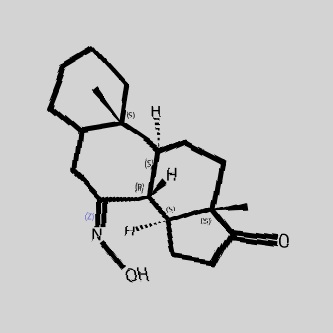 C[C@]12CCCCC1C/C(=N/O)[C@@H]1[C@@H]2CC[C@]2(C)C(=O)CC[C@@H]12